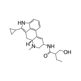 CCC(CO)C(=O)NC1C=C2c3cccc4[nH]c(C5CC5)c(c34)C[C@H]2N(C)C1